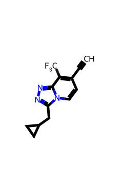 C#Cc1ccn2c(CC3CC3)nnc2c1C(F)(F)F